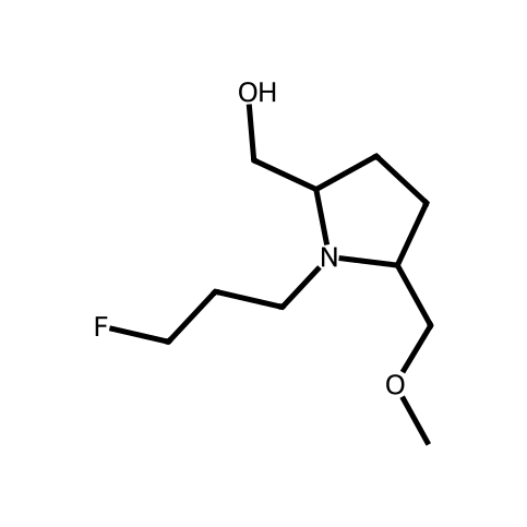 COCC1CCC(CO)N1CCCF